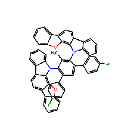 Cc1c(-n2c3ccccc3c3ccc4c5ccccc5oc4c32)c(-c2ccc(F)cc2)cc(-c2ccc(F)cc2)c1-n1c2ccccc2c2ccc3c4ccccc4oc3c21